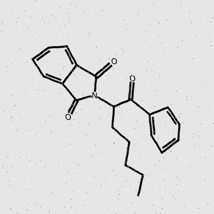 CCCCCC(C(=O)c1ccccc1)N1C(=O)c2ccccc2C1=O